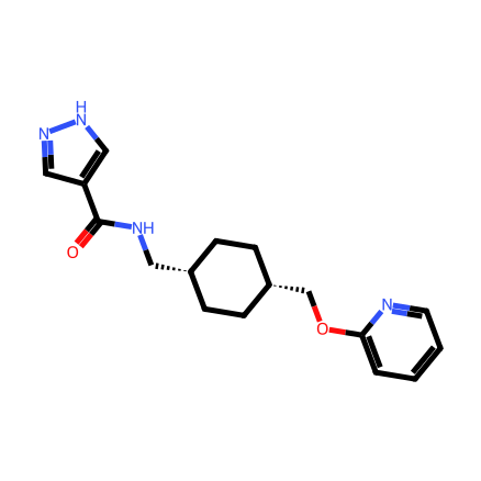 O=C(NC[C@H]1CC[C@@H](COc2ccccn2)CC1)c1cn[nH]c1